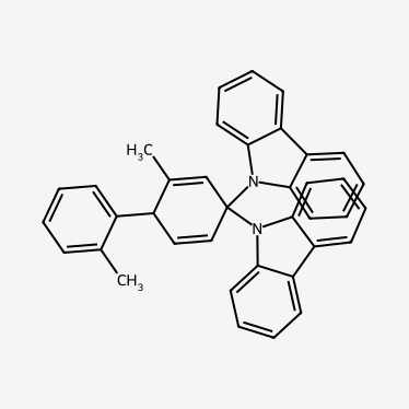 CC1=CC(n2c3ccccc3c3ccccc32)(n2c3ccccc3c3ccccc32)C=CC1c1ccccc1C